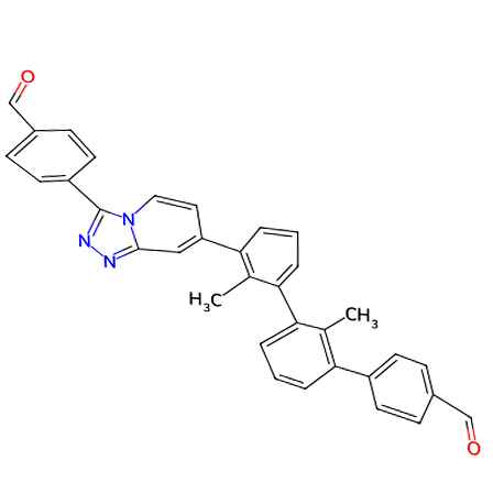 Cc1c(-c2ccc(C=O)cc2)cccc1-c1cccc(-c2ccn3c(-c4ccc(C=O)cc4)nnc3c2)c1C